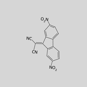 N#CC(C#N)=C1c2cc([N+](=O)[O-])ccc2-c2ccc([N+](=O)[O-])cc21